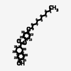 CCCCCCCCCCOc1ccc(OC(=O)C2CCc3cc(O)ccc3C2)cc1